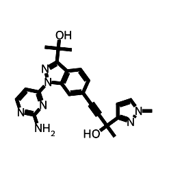 Cn1ccc(C(C)(O)C#Cc2ccc3c(C(C)(C)O)nn(-c4ccnc(N)n4)c3c2)n1